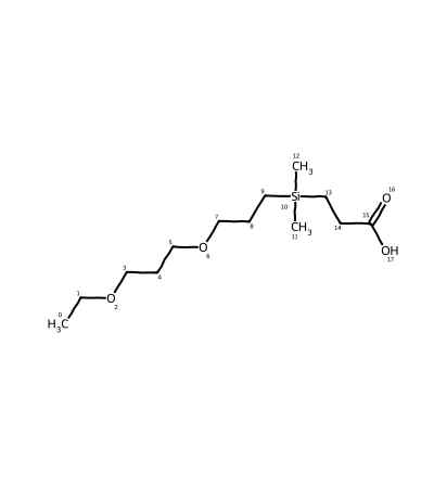 CCOCCCOCCC[Si](C)(C)CCC(=O)O